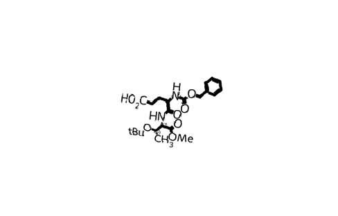 COC(=O)[C@@H](NC(=O)C(CCC(=O)O)NC(=O)OCc1ccccc1)[C@H](C)OC(C)(C)C